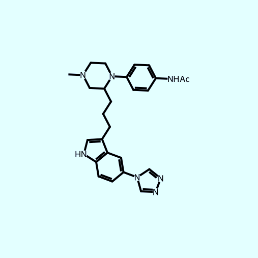 CC(=O)Nc1ccc(N2CCN(C)CC2CCCc2c[nH]c3ccc(-n4cnnc4)cc23)cc1